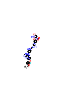 COc1cccc(Oc2ccc(-c3nn(C4CCC(NCCNC5CN(c6ccc7c(c6)oc(=O)n7C6CCC(=O)NC6=O)C5)CC4)c4ncnc(N)c34)cc2)c1F